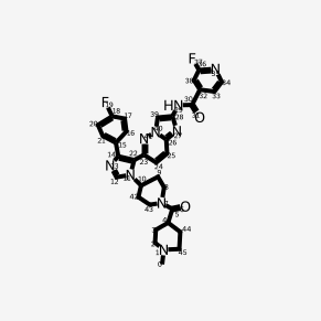 CN1CCC(C(=O)N2CCC(n3cnc(-c4ccc(F)cc4)c3-c3ccc4nc(NC(=O)c5ccnc(F)c5)cn4n3)CC2)CC1